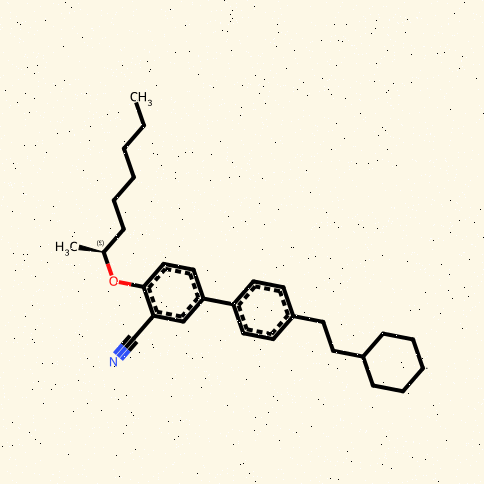 CCCCCC[C@H](C)Oc1ccc(-c2ccc(CCC3CC[CH]CC3)cc2)cc1C#N